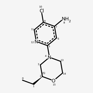 CC[C@H]1CN(c2cc(N)c(Cl)cn2)CCO1